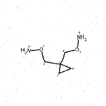 NOCC1(CON)CC1